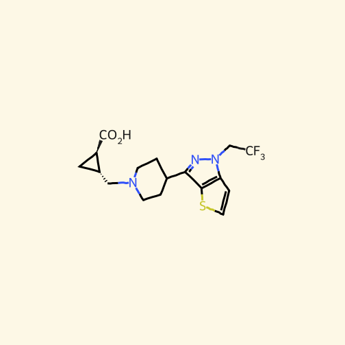 O=C(O)[C@@H]1C[C@H]1CN1CCC(c2nn(CC(F)(F)F)c3ccsc23)CC1